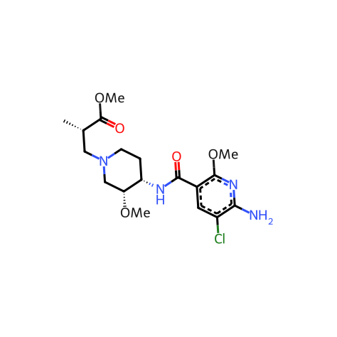 COC(=O)[C@@H](C)CN1CC[C@H](NC(=O)c2cc(Cl)c(N)nc2OC)[C@H](OC)C1